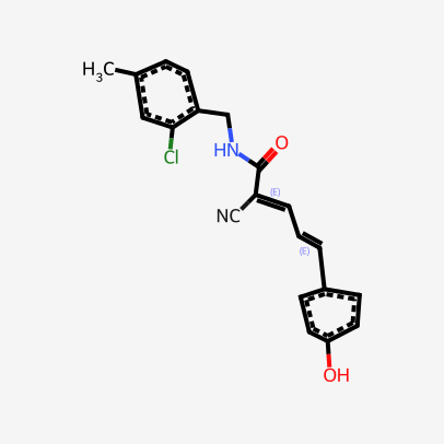 Cc1ccc(CNC(=O)/C(C#N)=C/C=C/c2ccc(O)cc2)c(Cl)c1